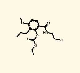 CCCc1c(OC)ccc(C(=O)NCCS)c1OC(=O)OCC